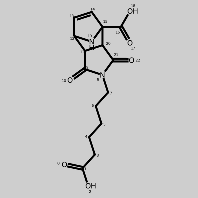 O=C(O)CCCCCN1C(=O)C2C3C=CC(C(=O)O)(N3)C2C1=O